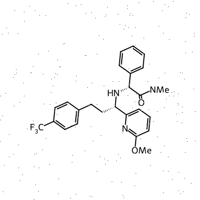 CNC(=O)[C@H](N[C@@H](CCc1ccc(C(F)(F)F)cc1)c1cccc(OC)n1)c1ccccc1